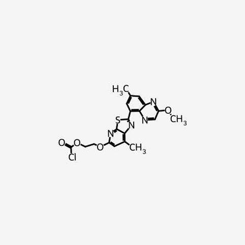 COc1cnc2c(-c3nc4c(C)cc(OCCOC(=O)Cl)nc4s3)cc(C)cc2n1